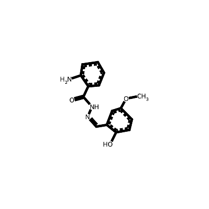 COc1ccc(O)c(/C=N\NC(=O)c2ccccc2N)c1